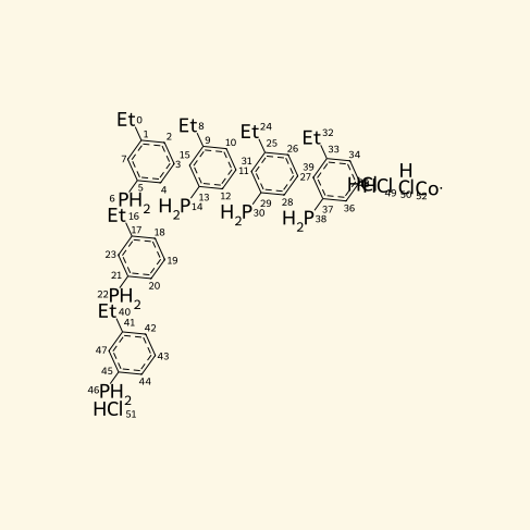 CCc1cccc(P)c1.CCc1cccc(P)c1.CCc1cccc(P)c1.CCc1cccc(P)c1.CCc1cccc(P)c1.CCc1cccc(P)c1.Cl.Cl.Cl.Cl.[Co]